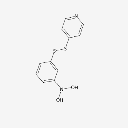 ON(O)c1cccc(SSc2ccncc2)c1